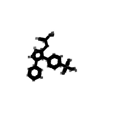 NS(=O)(=O)c1ccc(-c2c(-c3ccccc3)noc2CC(=O)O)cc1